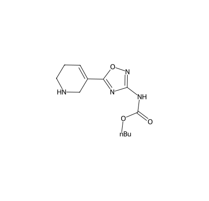 CCCCOC(=O)Nc1noc(C2=CCCNC2)n1